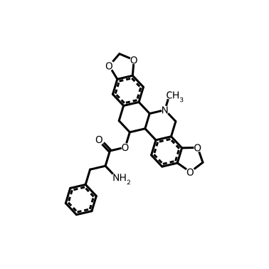 CN1Cc2c(ccc3c2OCO3)C2C(OC(=O)C(N)Cc3ccccc3)Cc3cc4c(cc3C21)OCO4